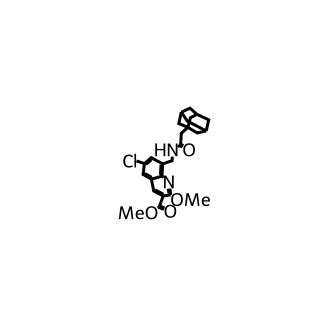 COC(=O)c1cc2cc(Cl)cc(CNC(=O)CC34CC5CC(CC(C5)C3)C4)c2nc1OC